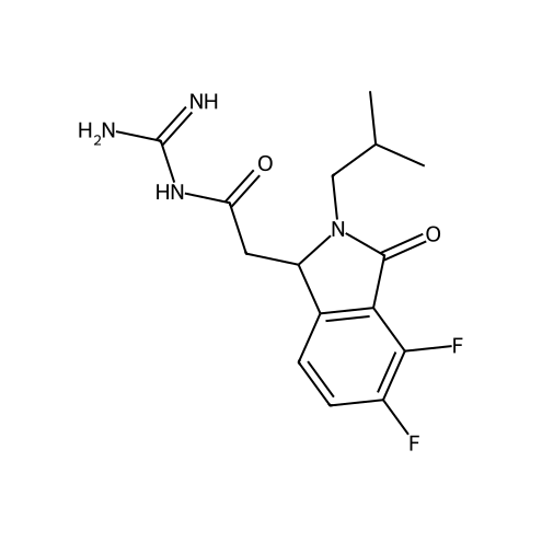 CC(C)CN1C(=O)c2c(ccc(F)c2F)C1CC(=O)NC(=N)N